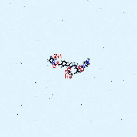 C/C(=C\c1cccc(COC(=O)N2CCC[C@@H]2CO)c1)[C@H]1OC(=O)C[C@H](O)CC[C@H](C)[C@H](OC(=O)N2CCN(C)CC2)/C=C/[C@@H]1C